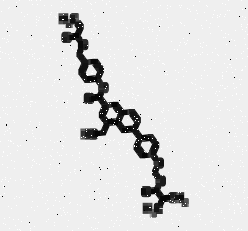 C=CC(=O)OCc1ccc(OC(=O)c2cc(CO)c3cc(-c4ccc(OCOC(=O)C(=C)C)cc4)ccc3c2)cc1